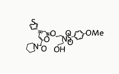 COc1ccc(S(=O)(=O)N(CCO)CCO[C@H]2C[C@@H](c3ccsc3)C=C(C(=O)N3CCCCC3)O2)cc1